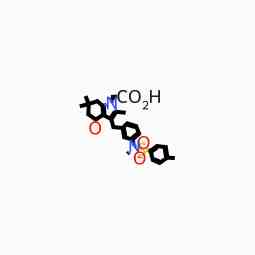 Cc1ccc(S(=O)(=O)N(C)c2cccc(Cc3c4c(n(CC(=O)O)c3C)CC(C)(C)CC4=O)c2)cc1